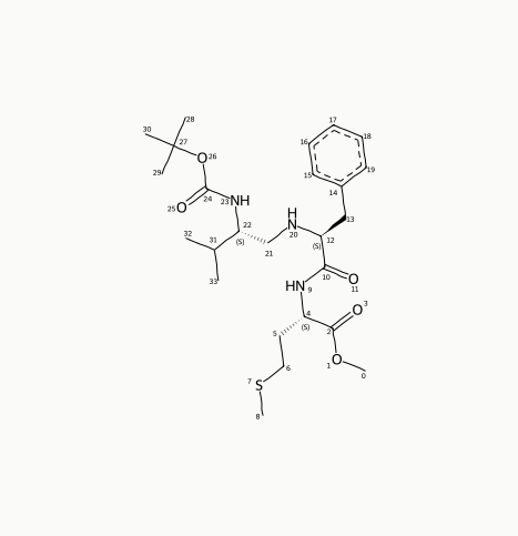 COC(=O)[C@H](CCSC)NC(=O)[C@H](Cc1ccccc1)NC[C@@H](NC(=O)OC(C)(C)C)C(C)C